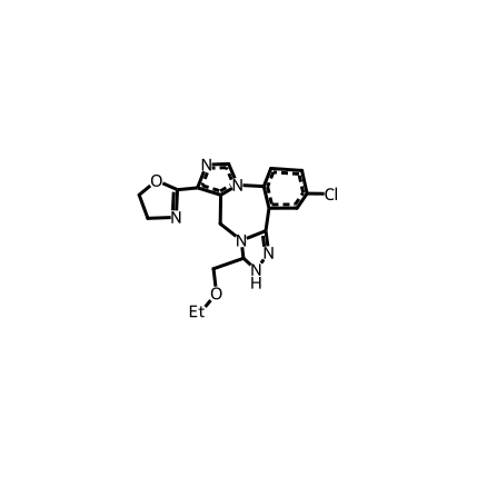 CCOCC1NN=C2c3cc(Cl)ccc3-n3cnc(C4=NCCO4)c3CN21